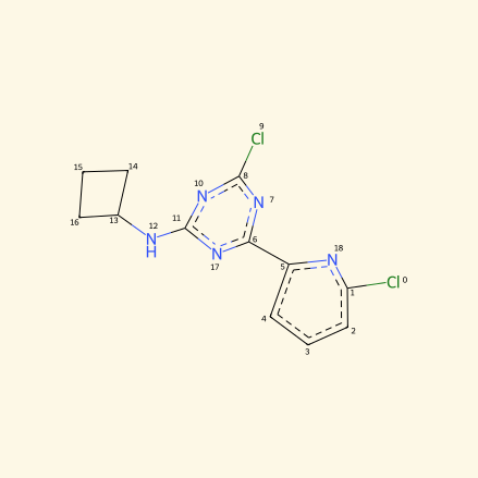 Clc1cccc(-c2nc(Cl)nc(NC3CCC3)n2)n1